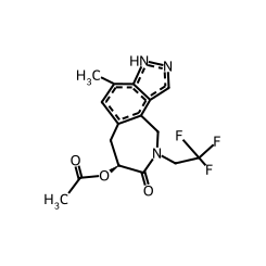 CC(=O)O[C@H]1Cc2cc(C)c3[nH]ncc3c2CN(CC(F)(F)F)C1=O